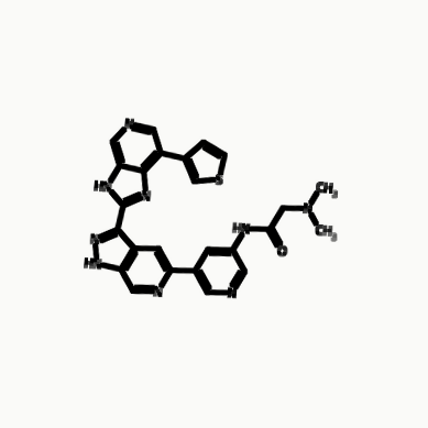 CN(C)CC(=O)Nc1cncc(-c2cc3c(-c4nc5c(-c6ccsc6)cncc5[nH]4)n[nH]c3cn2)c1